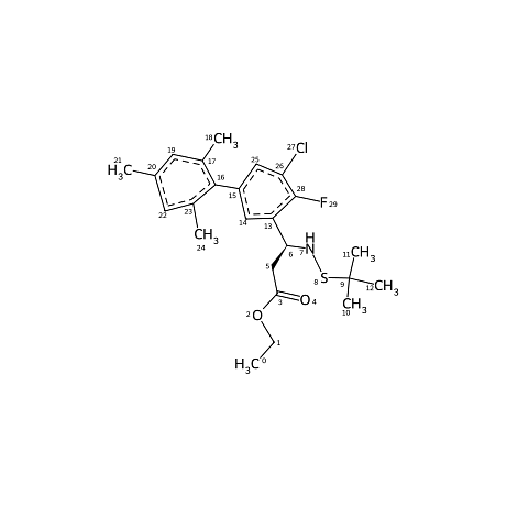 CCOC(=O)C[C@H](NSC(C)(C)C)c1cc(-c2c(C)cc(C)cc2C)cc(Cl)c1F